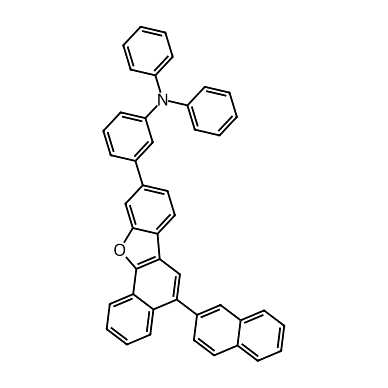 c1ccc(N(c2ccccc2)c2cccc(-c3ccc4c(c3)oc3c5ccccc5c(-c5ccc6ccccc6c5)cc43)c2)cc1